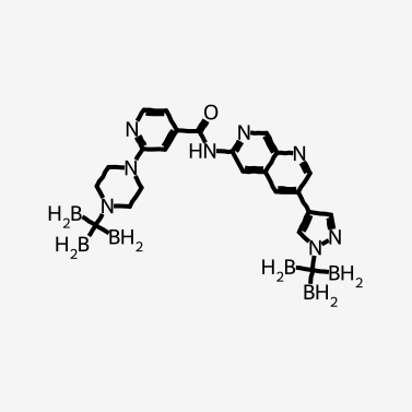 BC(B)(B)N1CCN(c2cc(C(=O)Nc3cc4cc(-c5cnn(C(B)(B)B)c5)cnc4cn3)ccn2)CC1